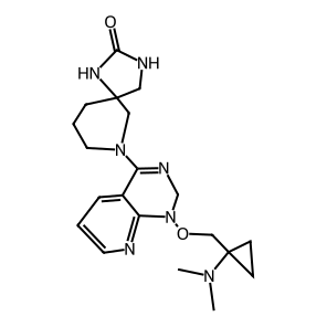 CN(C)C1(CON2CN=C(N3CCCC4(CNC(=O)N4)C3)c3cccnc32)CC1